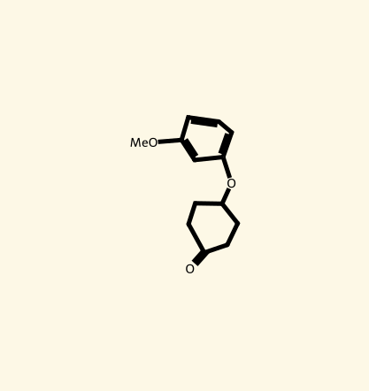 COc1cccc(OC2CCC(=O)CC2)c1